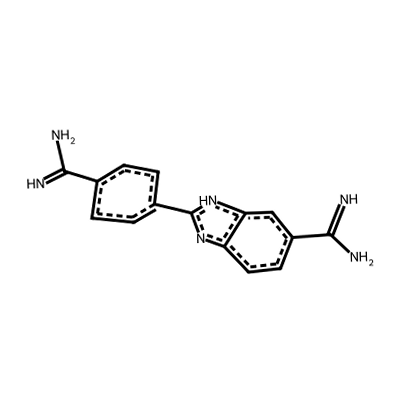 N=C(N)c1ccc(-c2nc3ccc(C(=N)N)cc3[nH]2)cc1